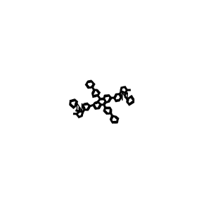 CC1CCC2c3cc(-c4ccc5c(-c6ccc(-c7ccccc7)cc6)c6cc(-c7ccc8c(c7)C7CCC(C)C7(C)N8c7ccccc7)ccc6c(-c6ccc(-c7ccccc7)cc6)c5c4)ccc3N(c3ccccc3)C12C